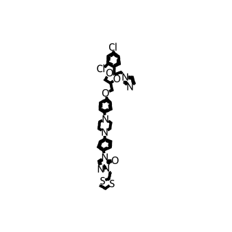 O=c1n(-c2ccc(N3CCN(c4ccc(OCC5COC(Cn6ccnc6)(c6ccc(Cl)cc6Cl)O5)cc4)CC3)cc2)cnn1CC1SCCS1